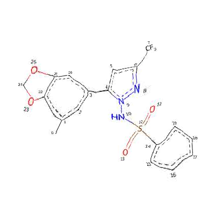 Cc1cc(-c2cc(C(F)(F)F)nn2NS(=O)(=O)c2ccccc2)cc2c1OCO2